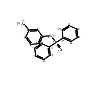 Cc1cccc(NP(=S)(c2ccccc2)c2ccccc2)c1